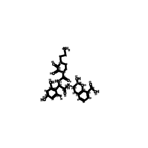 NCCN1CCN(C(=O)NC(C(=O)N[C@H]2Cc3cccc(C(=O)O)c3OB2O)c2c(O)cc(O)cc2F)C(=O)C1=O